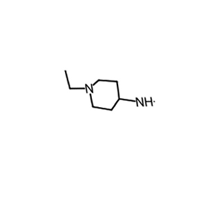 CCN1CCC([NH])CC1